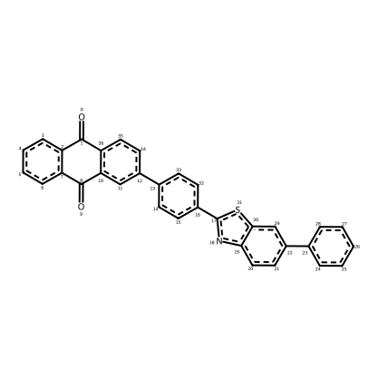 O=C1c2ccccc2C(=O)c2cc(-c3ccc(-c4nc5ccc(-c6ccccc6)cc5s4)cc3)ccc21